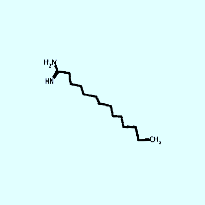 CCCCCCCCCCCCCC(=N)N